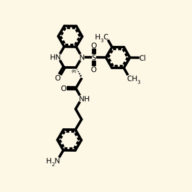 Cc1cc(S(=O)(=O)N2c3ccccc3NC(=O)[C@H]2CC(=O)NCCc2ccc(N)cc2)c(C)cc1Cl